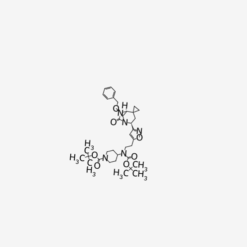 CC(C)(C)OC(=O)N1CCC(N(CCc2cc([C@@H]3CC4(CC4)[C@H]4CN3C(=O)N4OCc3ccccc3)no2)C(=O)OC(C)(C)C)CC1